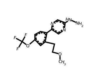 COCCc1cc(OC(F)(F)F)ccc1-c1cnc(NN)cn1